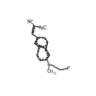 [C-]#[N+]/C(C#N)=C\c1ccc2cc(N(C)CCF)ccc2c1